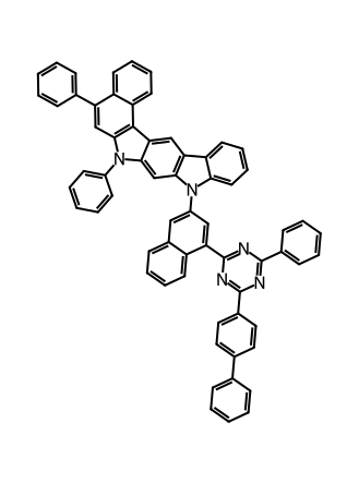 c1ccc(-c2ccc(-c3nc(-c4ccccc4)nc(-c4cc(-n5c6ccccc6c6cc7c8c9ccccc9c(-c9ccccc9)cc8n(-c8ccccc8)c7cc65)cc5ccccc45)n3)cc2)cc1